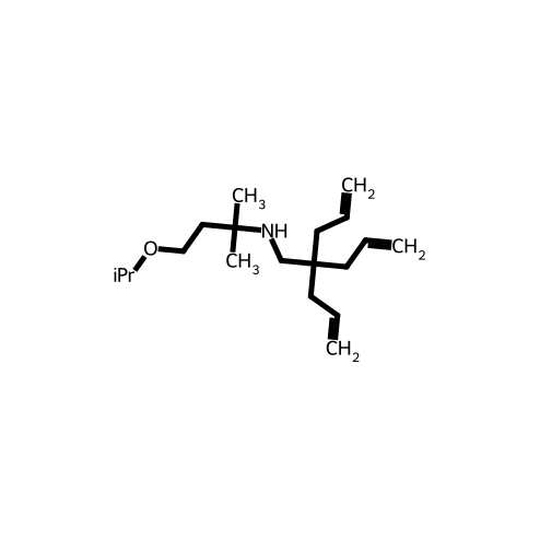 C=CCC(CC=C)(CC=C)CNC(C)(C)CCOC(C)C